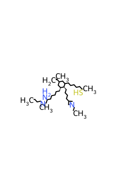 C=C(C)C1CC(CCCCC[C@H](C)S)[C@@H](CCCCC2CN(CCC)C2)[C@@H](CCCCCC(N)CN(C)CCCC)C1